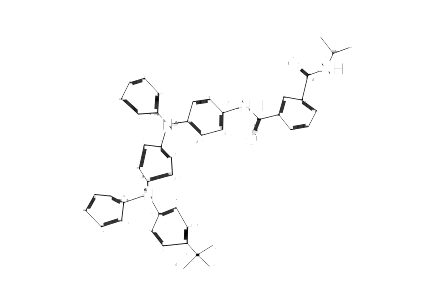 CC(C)NC(=O)c1cccc(C(=O)Nc2ccc(N(c3ccccc3)c3ccc(N(c4ccccc4)c4ccc(C(C)(C)C)cc4)cc3)cc2)c1